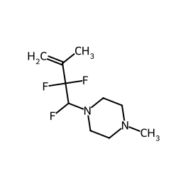 C=C(C)C(F)(F)C(F)N1CCN(C)CC1